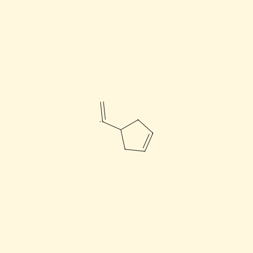 C=[C]C1CC=CC1